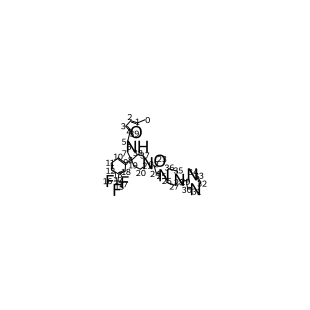 Cc1ccc(CNCC2(c3cccc(C(F)(F)F)c3)CCN(C(=O)CN3CCN(c4cnccn4)CC3)CC2)o1